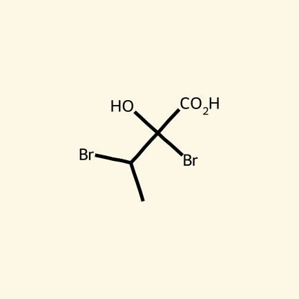 CC(Br)C(O)(Br)C(=O)O